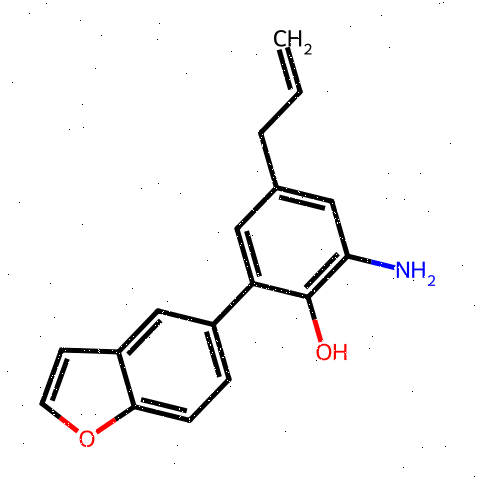 C=CCc1cc(N)c(O)c(-c2ccc3occc3c2)c1